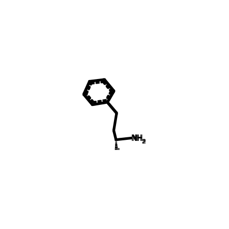 [CH2][C@@H](N)CCc1ccccc1